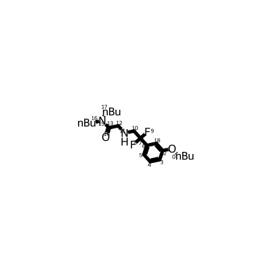 CCCCOc1cccc(C(F)(F)CNCC(=O)N(CCCC)CCCC)c1